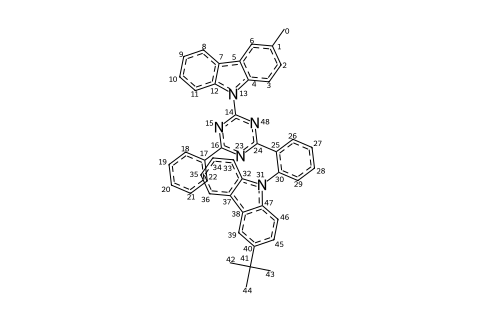 Cc1ccc2c(c1)c1ccccc1n2-c1nc(-c2ccccc2)nc(-c2ccccc2-n2c3ccccc3c3cc(C(C)(C)C)ccc32)n1